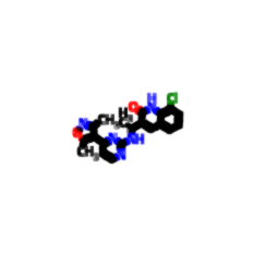 Cc1noc(C)c1-c1ccnc(N[C@@H](C)c2cc3cccc(Cl)c3[nH]c2=O)n1